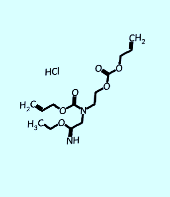 C=CCOC(=O)OCCN(CC(=N)OCC)C(=O)OCC=C.Cl